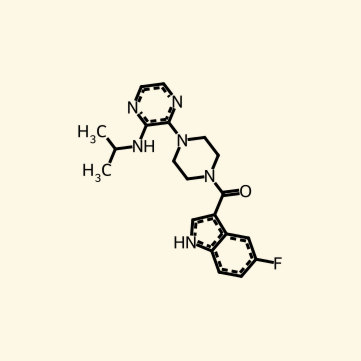 CC(C)Nc1nccnc1N1CCN(C(=O)c2c[nH]c3ccc(F)cc23)CC1